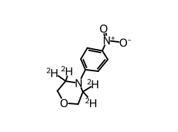 [2H]C1([2H])COCC([2H])([2H])N1c1ccc([N+](=O)[O-])cc1